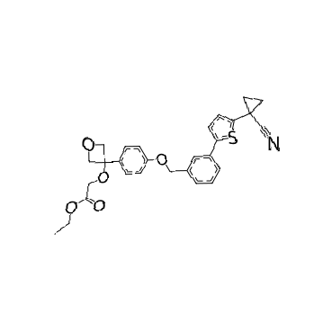 CCOC(=O)COC1(c2ccc(OCc3cccc(-c4ccc(C5(C#N)CC5)s4)c3)cc2)COC1